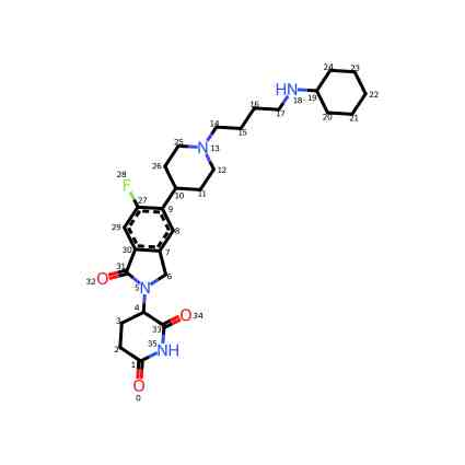 O=C1CCC(N2Cc3cc(C4CCN(CCCCNC5CCCCC5)CC4)c(F)cc3C2=O)C(=O)N1